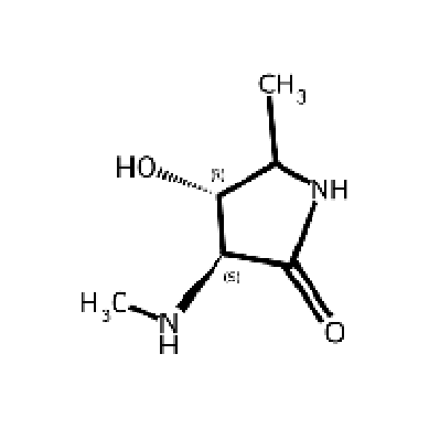 CN[C@@H]1C(=O)NC(C)[C@H]1O